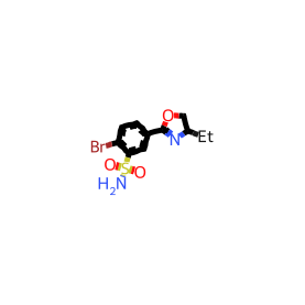 CCC1COC(c2ccc(Br)c(S(N)(=O)=O)c2)=N1